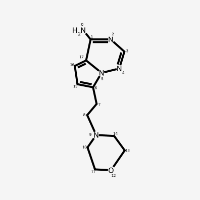 Nc1ncnn2c(CCN3CCOCC3)ccc12